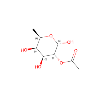 CC(=O)O[C@@H]1[C@@H](O)[C@@H](O)[C@@H](C)O[C@@H]1O